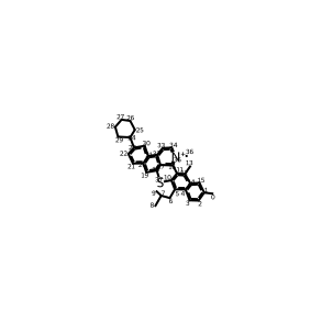 Cc1ccc2c(CC(C)C)c3c(c(C)c2c1)-c1c2c(cc4ccc(C5CCCCC5)cc4c2cc[n+]1C)S3